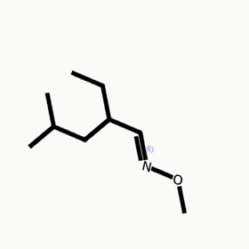 CCC(/C=N/OC)CC(C)C